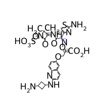 CC1(C)[C@H](NC(=O)/C(=N\O[C@@H](COc2ccc3nc(NC4CC(N)C4)ccc3c2)C(=O)O)c2csc(N)n2)C(=O)N1OS(=O)(=O)O